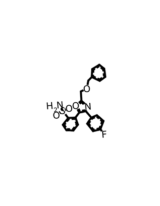 NS(=O)(=O)c1ccccc1-c1oc(COCc2ccccc2)nc1-c1ccc(F)cc1